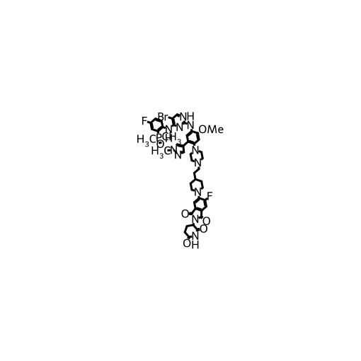 COc1cc(N2CCN(CCC3CCN(c4cc5c(cc4F)C(=O)N(C4CCC(=O)NC4=O)C5=O)CC3)CC2)c(-c2cnn(C)c2)cc1Nc1ncc(Br)c(Nc2ccc(F)cc2P(C)(C)=O)n1